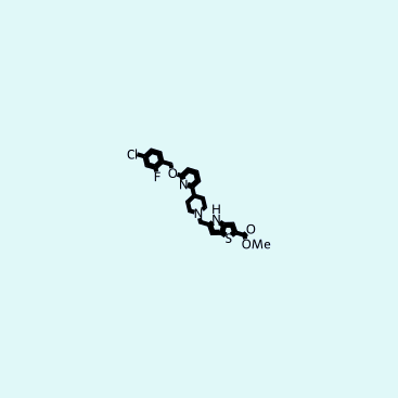 COC(=O)c1cc2[nH]c(CN3CCC(c4cccc(OCc5ccc(Cl)cc5F)n4)CC3)cc2s1